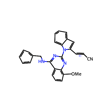 COc1cccc2c(NCc3ccccc3)nc(-n3c(/C=C/C#N)cc4ccccc43)nc12